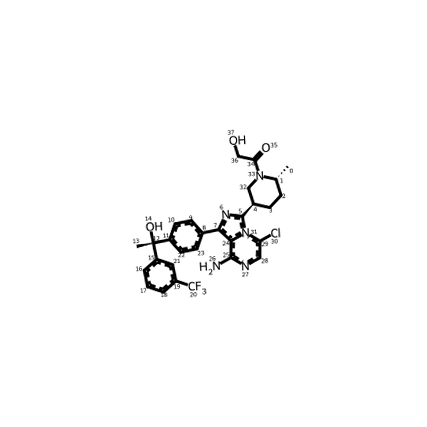 C[C@@H]1CC[C@@H](c2nc(-c3ccc([C@@](C)(O)c4cccc(C(F)(F)F)c4)cc3)c3c(N)ncc(Cl)n23)CN1C(=O)CO